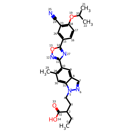 CCC(CCn1ncc2cc(-c3noc(-c4ccc(OC(C)C)c(C#N)c4)n3)c(C)cc21)C(=O)O